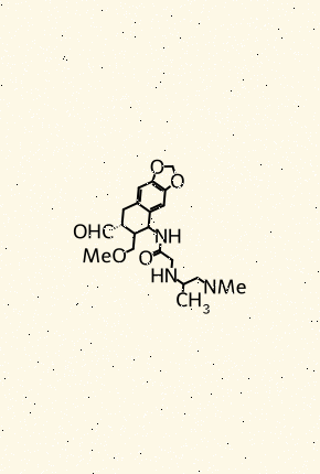 CNCC(C)NCC(=O)NC1c2cc3c(cc2C[C@@H](C=O)C1COC)OCO3